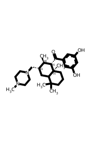 C[C@@H]1[C@@H](CN2CCN(C)CC2)CC2C(C)(C)CCC[C@]2(C)[C@H]1C(=O)c1cc(O)cc(O)c1